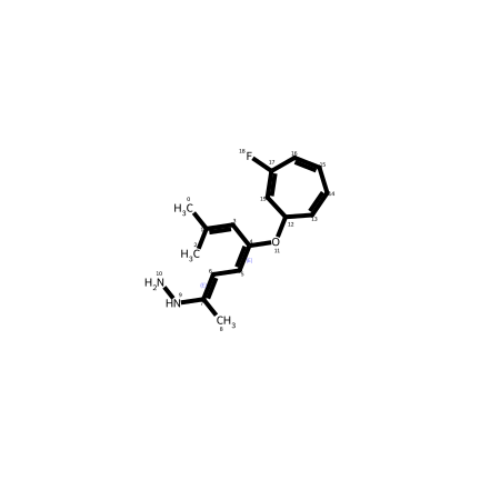 CC(C)=C/C(=C\C=C(/C)NN)OC1C=CC=CC(F)=C1